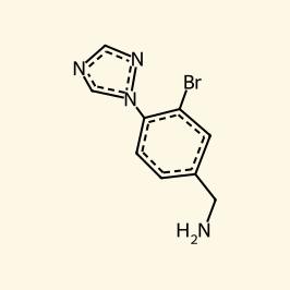 NCc1ccc(-n2cncn2)c(Br)c1